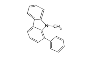 Cn1c2ccccc2c2cccc(-c3ccccc3)c21